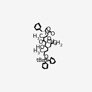 C=CC[C@@H](C[C@@H](C)CO[Si](c1ccccc1)(c1ccccc1)C(C)(C)C)[C@H](O)[C@@H](C)C(=O)[C@@H](C)C(=O)N1C(=O)OC[C@H]1Cc1ccccc1